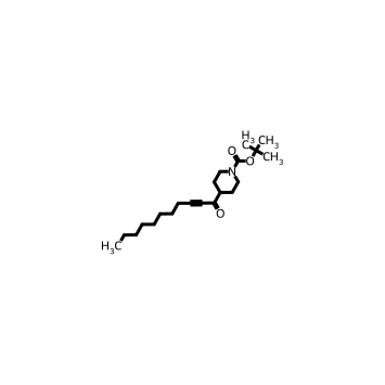 CCCCCCCCC#CC(=O)C1CCN(C(=O)OC(C)(C)C)CC1